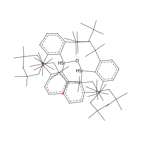 CC(C)(C)CC(C)(C)c1cccc(C(C)(C)CC(C)(C)C)c1[SiH](O[SiH](c1c(C(C)(C)CC(C)(C)C)cccc1C(C)(C)CC(C)(C)C)c1c(C(C)(C)CC(C)(C)C)cccc1C(C)(C)CC(C)(C)C)c1c(C(C)(C)CC(C)(C)C)cccc1C(C)(C)CC(C)(C)C